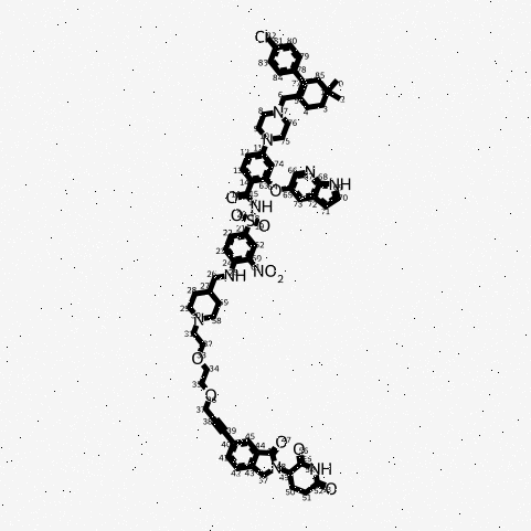 CC1(C)CCC(CN2CCN(c3ccc(C(=O)NS(=O)(=O)c4ccc(NCC5CCN(CCOCCOCC#Cc6ccc7c(c6)C(=O)N(C6CCC(=O)NC6=O)C7)CC5)c([N+](=O)[O-])c4)c(Oc4cnc5[nH]ccc5c4)c3)CC2)=C(c2ccc(Cl)cc2)C1